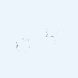 CC(=O)Nc1conc1COc1ccccc1